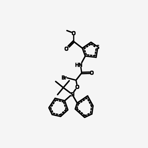 COC(=O)c1cscc1NC(=O)C(Br)O[Si](c1ccccc1)(c1ccccc1)C(C)(C)C